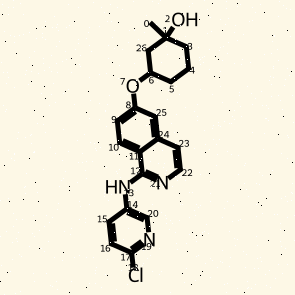 CC1(O)CCCC(Oc2ccc3c(Nc4ccc(Cl)nc4)nccc3c2)C1